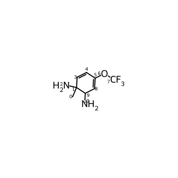 CC1(N)C=CC(OC(F)(F)F)=CC1N